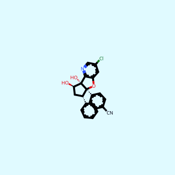 N#Cc1ccc([C@@]23Oc4cc(Cl)cnc4[C@]2(O)[C@H](O)C[C@H]3c2ccccc2)cc1